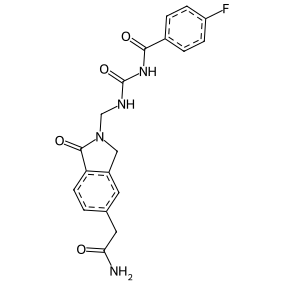 NC(=O)Cc1ccc2c(c1)CN(CNC(=O)NC(=O)c1ccc(F)cc1)C2=O